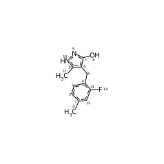 Cc1ccc(Cc2c(O)n[nH]c2C)c(F)c1